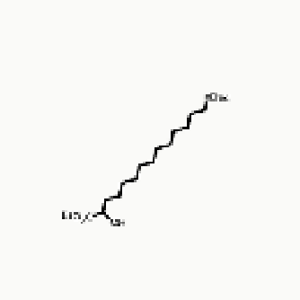 CCCCCCCCCCCCCCCCCCCCCCC(O)C(=O)OCC